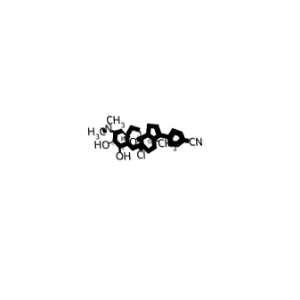 CN(C)[C@H]1C[C@@]23CC[C@]4(O2)C2CC=C(c5ccc(C#N)cc5)[C@@]2(C)CCC4(Cl)CC3[C@@H](O)[C@@H]1O